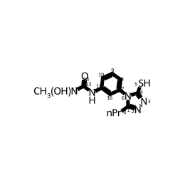 CCCc1nnc(S)n1-c1cccc(NC(=O)N(C)O)c1